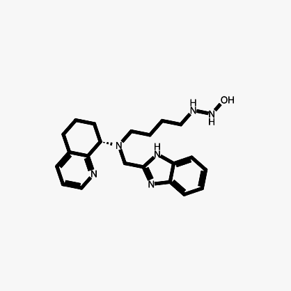 ONNCCCCN(Cc1nc2ccccc2[nH]1)[C@H]1CCCc2cccnc21